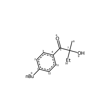 CCCCc1ccc(C(=O)C(C)(O)CC)cc1